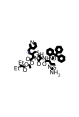 CCC(CC)C(=O)OC(C)OC(=O)C1=C(/C=C\c2cccnc2)CS[C@H]2[C@H](NC(=O)C(=NOC(c3ccccc3)(c3ccccc3)c3ccccc3)c3csc(N)n3)C(=O)N12